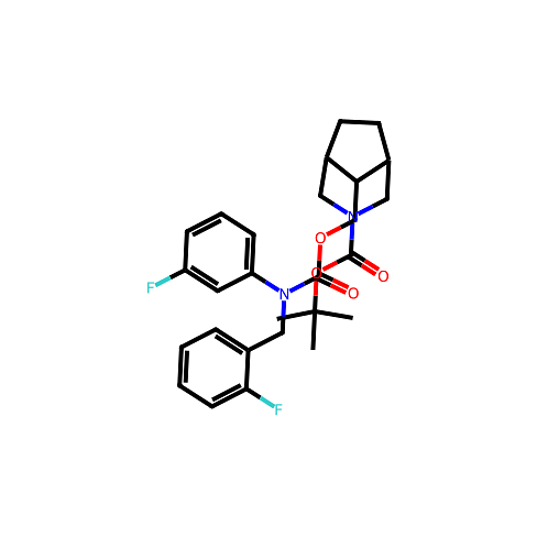 CC(C)(C)OC(=O)N1CC2CCC(C1)C2COC(=O)N(Cc1ccccc1F)c1cccc(F)c1